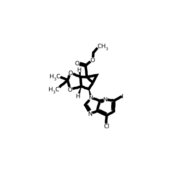 CCOC(=O)C12CC1[C@@H](n1cnc3c(Cl)cc(I)nc31)[C@@H]1OC(C)(C)O[C@@H]12